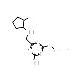 CCCCCSc1nc(N)nc(CNC2CCCC2O)n1